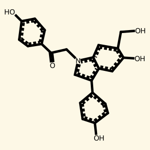 O=C(Cn1cc(-c2ccc(O)cc2)c2cc(O)c(CO)cc21)c1ccc(O)cc1